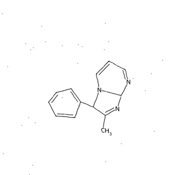 CC1=NC2N=CC=CN2C1c1ccccc1